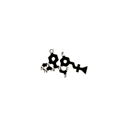 CC(C)(CCc1cc(F)cc(N(CC(F)F)c2nc3nncn3c3cc(Cl)ccc23)c1)C1CC1